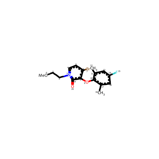 COCCn1ccc(Br)c(Oc2c(C)cc(F)cc2C)c1=O